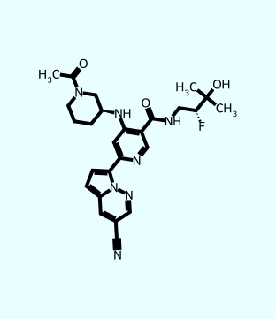 CC(=O)N1CCC[C@H](Nc2cc(-c3ccc4cc(C#N)cnn34)ncc2C(=O)NC[C@@H](F)C(C)(C)O)C1